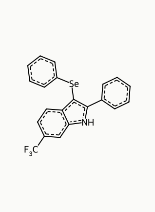 FC(F)(F)c1ccc2c([Se]c3ccccc3)c(-c3ccccc3)[nH]c2c1